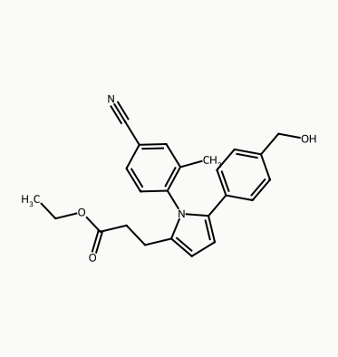 CCOC(=O)CCc1ccc(-c2ccc(CO)cc2)n1-c1ccc(C#N)cc1C